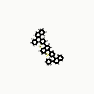 c1ccc(-c2ccc3ccccc3c2-c2ccc3c(c2)Sc2ccc4c5c(ccc-3c25)-c2ccc(-c3c(-c5ccccc5)ccc5ccccc35)cc2S4)cc1